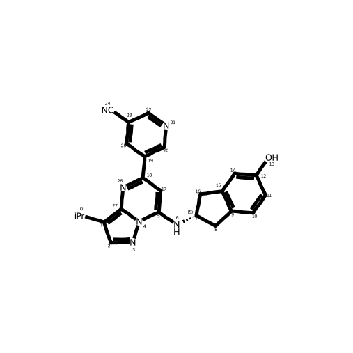 CC(C)c1cnn2c(N[C@H]3Cc4ccc(O)cc4C3)cc(-c3cncc(C#N)c3)nc12